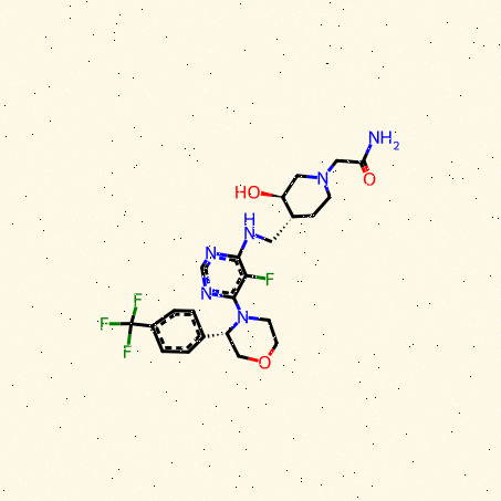 NC(=O)CN1CC[C@H](CNc2ncnc(N3CCOC[C@@H]3c3ccc(C(F)(F)F)cc3)c2F)[C@@H](O)C1